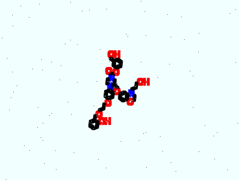 O=C(Oc1cccc(CO)c1)N1CCN(c2ccc(OCCCOCc3ccccc3O)cc2)[C@@H](COc2ccc3c(c2)N(CCCO)CCO3)C1